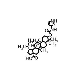 CC(C)[C@@H]1CC[C@]2(C(=O)O)CC[C@]3(C)C(CCC4[C@@]5(C)CC[C@@H](OC(=O)Nc6cc[nH]n6)C(C)(C)C5CC[C@]43C)C12